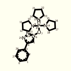 c1ccc(-c2cn(O[PH](N3CCCC3)(N3CCCC3)N3CCCC3)nn2)cc1